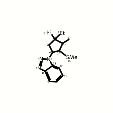 CCCC1(CC)CC(n2nnc3ccccc32)C(SC)C1C